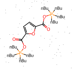 CCCCP(CCCC)(CCCC)(CCCC)OC(=O)c1ccc(C(=O)OP(CCCC)(CCCC)(CCCC)CCCC)o1